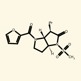 CC(C)[C@H]1C(=O)N(S(C)(=O)=O)[C@H]2CCN(C(=O)c3ccco3)[C@H]12